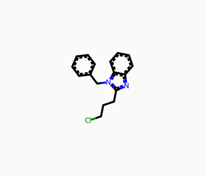 ClCCCc1nc2ccccc2n1Cc1ccccc1